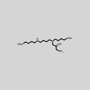 CCCCCCCCCCCCCCNCCCCN(CCCCCCCCCCCCCC)C[C@@H](O)CN